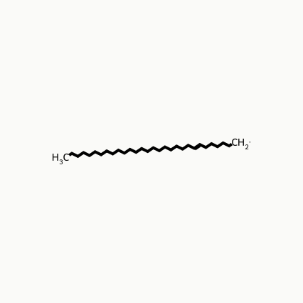 [CH2]CCCCCC=CCCCCCCCCCCCCCCCCCCCCCC